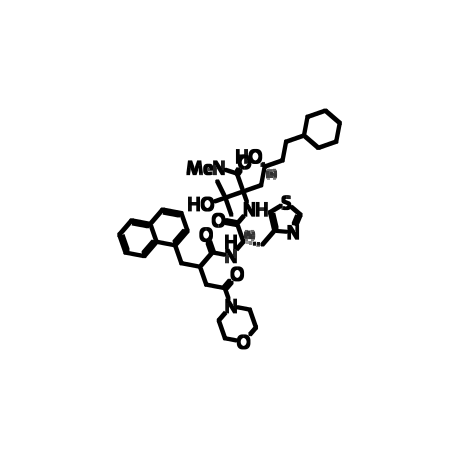 CNC(=O)C(C[C@@H](O)CCC1CCCCC1)(NC(=O)[C@H](Cc1cscn1)NC(=O)C(CC(=O)N1CCOCC1)Cc1cccc2ccccc12)C(C)(C)O